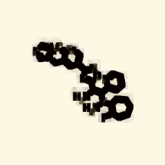 C=C/C(=C\C(=C/CC)c1noc(/C(N)=C(\c2ccccn2)N(N)C2=C(F)C=CCC=C2)n1)Cn1cncn1